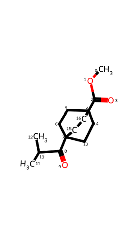 COC(=O)C12CCC(C(=O)C(C)C)(CC1)CC2